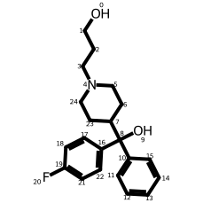 OCCCN1CCC(C(O)(c2ccccc2)c2ccc(F)cc2)CC1